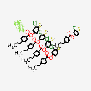 CCCc1ccc(C(=O)Oc2ccc([S])c(Cl)c2)cc1.CCCc1ccc(C(=O)Oc2ccc([S])c(Cl)c2)cc1.CCCc1ccc(C(=O)Oc2ccc([S])c(Cl)c2)cc1.CCCc1ccc(C(=O)Oc2ccc([S])c(Cl)c2)cc1.CCCc1ccc(C(=O)Oc2ccc([S])c(Cl)c2)cc1.F.F.F.F.F